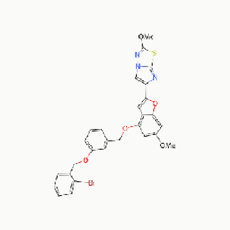 COc1cc(OCc2cccc(OCc3ccccc3Br)c2)c2cc(-c3cn4nc(OC)sc4n3)oc2c1